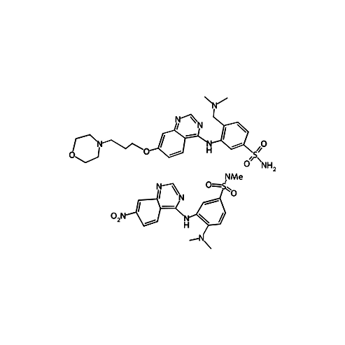 CN(C)Cc1ccc(S(N)(=O)=O)cc1Nc1ncnc2cc(OCCCN3CCOCC3)ccc12.CNS(=O)(=O)c1ccc(N(C)C)c(Nc2ncnc3cc([N+](=O)[O-])ccc23)c1